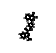 CC(C)n1nc(C(=O)Nc2ccc(-c3n[nH]c(=O)c4ccccc34)cc2)c2ccccc21